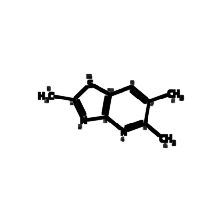 Cc1nc2nc(C)c(C)cc2s1